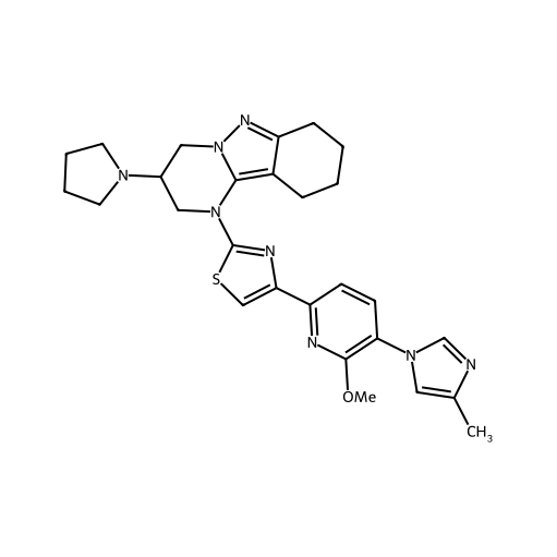 COc1nc(-c2csc(N3CC(N4CCCC4)Cn4nc5c(c43)CCCC5)n2)ccc1-n1cnc(C)c1